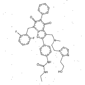 CCNC(=O)Nc1ccc(-c2sc3c(c2CN(C)CCn2ccnc2CCO)c(=O)n(-c2ccccc2)c(=O)n3Cc2c(F)cccc2F)cc1